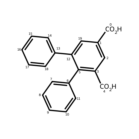 O=C(O)c1cc(C(=O)O)c(-c2ccccc2)c(-c2ccccc2)c1